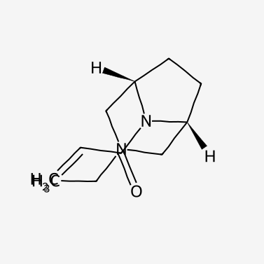 C=CC(=O)N1[C@@H]2CC[C@H]1CN(CC)C2